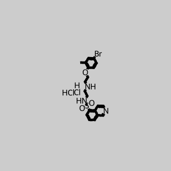 Cc1cc(Br)ccc1OCCNCCNS(=O)(=O)c1cccc2cnccc12.Cl.Cl